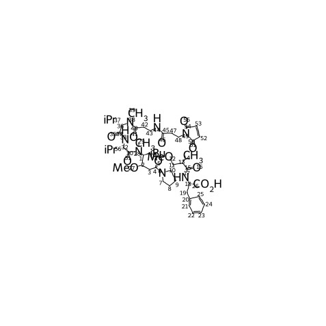 CCC(C)[C@@H](C(CC(=O)N1CCC[C@H]1C(OC)[C@@H](C)C(=O)N[C@@H](Cc1ccccc1)C(=O)O)OC)N(C)C(=O)[C@@H](NC(=O)[C@H](C(C)C)N(C)C(=O)CCNC(=O)CCN1C(=O)C=CC1=O)C(C)C